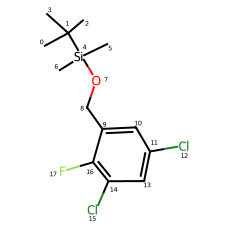 CC(C)(C)[Si](C)(C)OCc1cc(Cl)cc(Cl)c1F